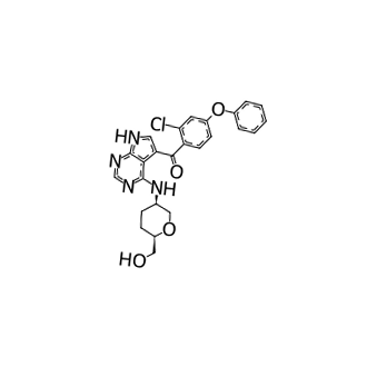 O=C(c1ccc(Oc2ccccc2)cc1Cl)c1c[nH]c2ncnc(N[C@@H]3CC[C@H](CO)OC3)c12